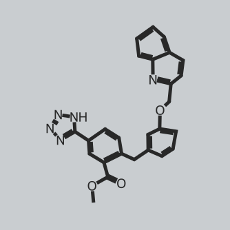 COC(=O)c1cc(-c2nnn[nH]2)ccc1Cc1cccc(OCc2ccc3ccccc3n2)c1